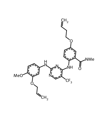 C=CCCOc1ccc(Nc2nc(Nc3ccc(OC)c(OCC=C)c3)ncc2C(F)(F)F)c(C(=O)NC)c1